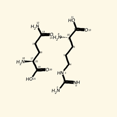 N=C(N)NCCC[C@H](N)C(=O)O.NC(=O)CC[C@H](N)C(=O)O